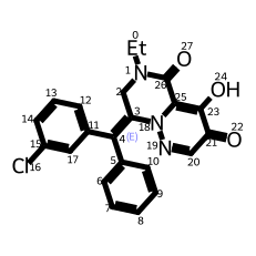 CCN1C/C(=C(/c2ccccc2)c2cccc(Cl)c2)n2ncc(=O)c(O)c2C1=O